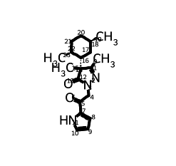 CC1=NN(CC(=O)c2ccc[nH]2)C(=O)C1(C)[C@H]1C[C@H](C)CC[C@@H]1C